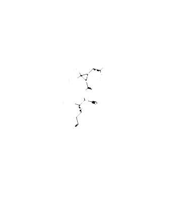 C#CC(OC(=O)C1C(C=C(C)C)C1(C)C)/C(C)=C/CC=C